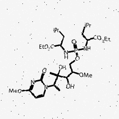 CCOC(=O)C(CC(C)C)NP(=O)(NC(CC(C)C)C(=O)OCC)OCC(OC)C(O)C(C)(O)C(C)n1ccc(OC)nc1=O